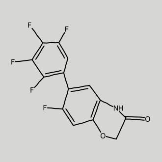 O=C1COc2cc(F)c(-c3cc(F)c(F)c(F)c3F)cc2N1